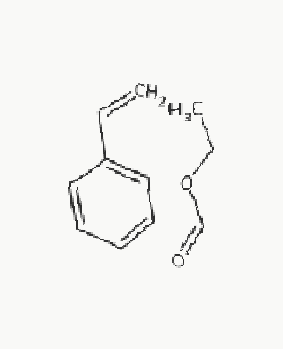 C=Cc1ccccc1.CCOC=O